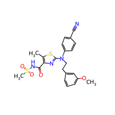 COc1cccc(CCN(c2ccc(C#N)cc2)c2nc(C(=O)NS(C)(=O)=O)c(C)s2)c1